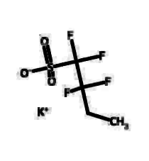 CCC(F)(F)C(F)(F)S(=O)(=O)[O-].[K+]